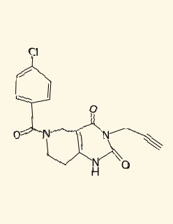 C#CCn1c(=O)[nH]c2c(c1=O)CN(C(=O)c1ccc(Cl)cc1)CC2